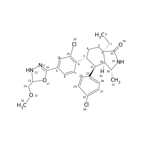 CC[C@@]12CC[C@@H](c3ccc(C4=NNC(COC)O4)cc3Cl)[C@H](c3ccc(Cl)cc3)[C@@H]1[C@@H](C)NC2=O